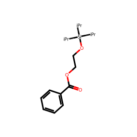 CC(C)[Si](OCCOC(=O)c1ccccc1)(C(C)C)C(C)C